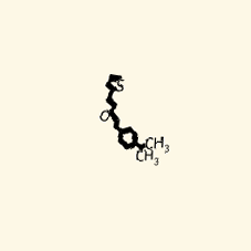 CC(C)c1ccc(C=CC(=O)C=Cc2cccs2)cc1